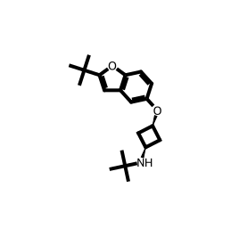 CC(C)(C)N[C@H]1C[C@@H](Oc2ccc3oc(C(C)(C)C)cc3c2)C1